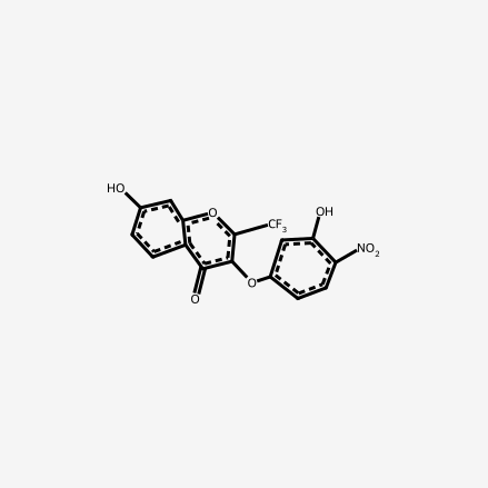 O=c1c(Oc2ccc([N+](=O)[O-])c(O)c2)c(C(F)(F)F)oc2cc(O)ccc12